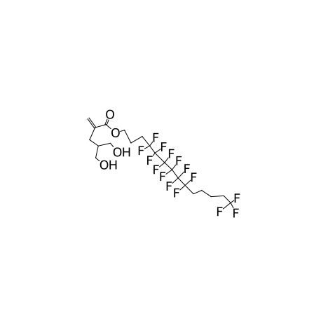 C=C(CC(CO)CO)C(=O)OCCCC(F)(F)C(F)(F)C(F)(F)C(F)(F)C(F)(F)C(F)(F)CCCCC(F)(F)F